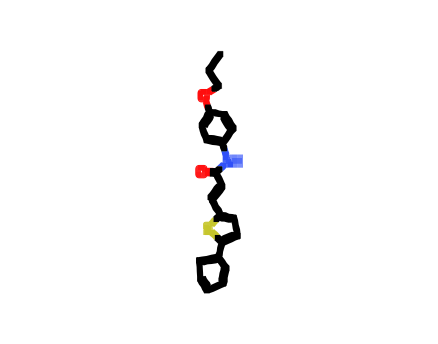 CCCOc1ccc(NC(=O)/C=C/c2ccc(-c3ccccc3)s2)cc1